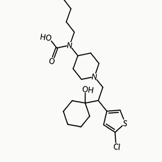 CCCCN(C(=O)O)C1CCN(CC(c2csc(Cl)c2)C2(O)CCCCC2)CC1